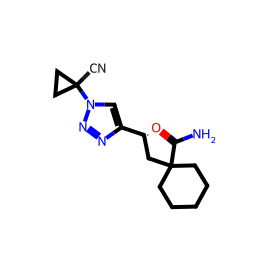 N#CC1(n2cc([CH]CC3(C(N)=O)CCCCC3)nn2)CC1